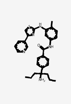 CCCC(N)(CCC)c1ccc(C(=O)Nc2ccc(C)c(Nc3nc(-c4cccnc4)cs3)c2)cc1